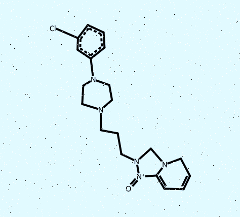 O=[N+]1C2=CC=CCN2CN1CCCN1CCN(c2cccc(Cl)c2)CC1